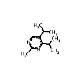 Cc1ncc(C(C)C)c(C(C)C)n1